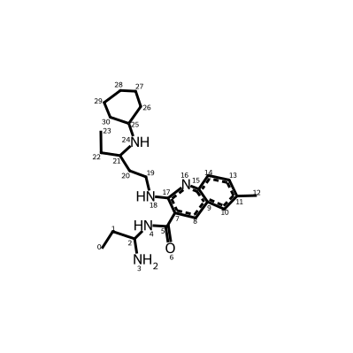 CCC(N)NC(=O)c1cc2cc(C)ccc2nc1NCCC(CC)NC1CCCCC1